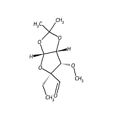 CC[C@]1(C=O)O[C@@H]2OC(C)(C)O[C@@H]2[C@@H]1OC